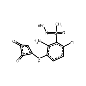 CCCN=S(C)(=O)c1c(Cl)ccc(Nc2cc(=O)c2=O)c1N